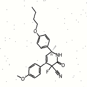 CCCCOc1ccc([C@]2(C)C=C(c3ccc(OC)cc3)C(F)(C#N)C(=O)N2)cc1